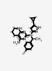 C[C@@H](c1ccc(F)cc1)N(c1cc(C2CC2)[nH]n1)c1nc(N)c2c(n1)NCCC2